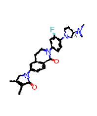 CC1=C(C)C(=O)N(c2ccc3c(c2)CCN(c2ccc(N4CC[C@@H](N(C)C)C4)c(F)c2)C3=O)C1